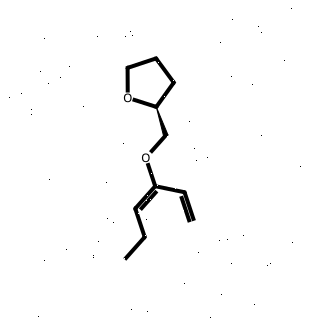 C=C/C(=C\CC)OC[C@@H]1CCCO1